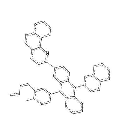 C=C/C=C\c1cc(-c2c3ccccc3c(-c3ccc4ccccc4c3)c3ccc(-c4ccc5ccc6ccccc6c5n4)cc23)ccc1C